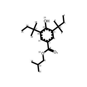 CCC(C)(C)c1cc(C(=O)OCC(C)C)cc(C(C)(C)CC)c1O